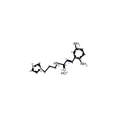 Cl.Nc1ccc(N)c(/C=C/C(=O)NCCCn2ccnc2)c1